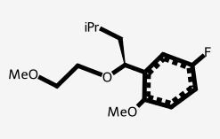 COCCO[C@@H](CC(C)C)c1cc(F)ccc1OC